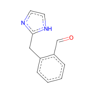 O=Cc1ccccc1Cc1ncc[nH]1